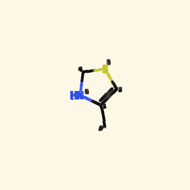 CC1=CSCN1